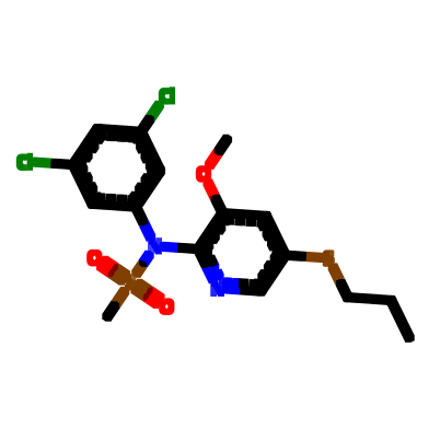 CCCSc1cnc(N(c2cc(Cl)cc(Cl)c2)S(C)(=O)=O)c(OC)c1